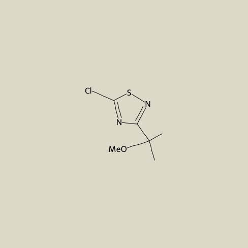 COC(C)(C)c1nsc(Cl)n1